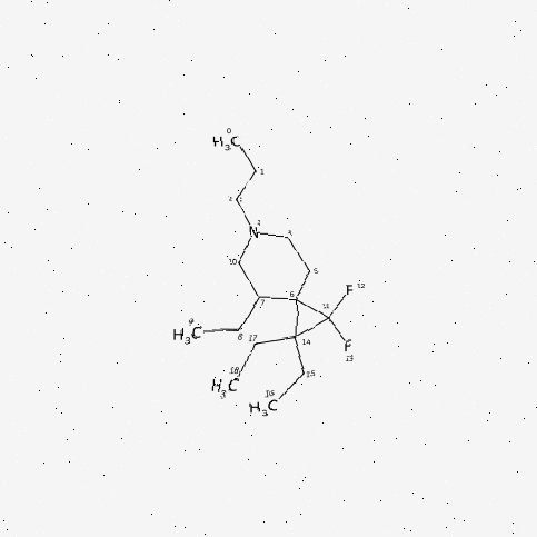 CC[C]N1CCC2(C(CC)C1)C(F)(F)C2(CC)CC